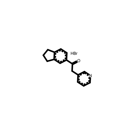 Br.O=C(Cc1cccnc1)c1ccc2c(c1)CCC2